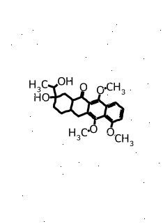 COc1c2c(c(OC)c3c(OC)cccc13)CC1CCC(O)(C(C)O)CC1C2=O